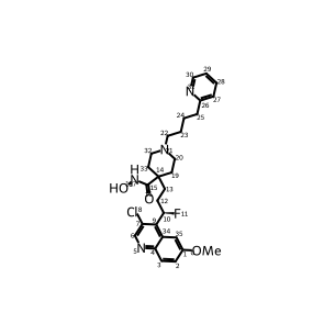 COc1ccc2ncc(Cl)c([C@H](F)CCC3(C(=O)NO)CCN(CCCCc4ccccn4)CC3)c2c1